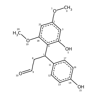 COc1cc(O)c(C(CC=O)c2ccc(O)cc2)c(OC)c1